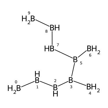 BBBB(B)B(B)BBB